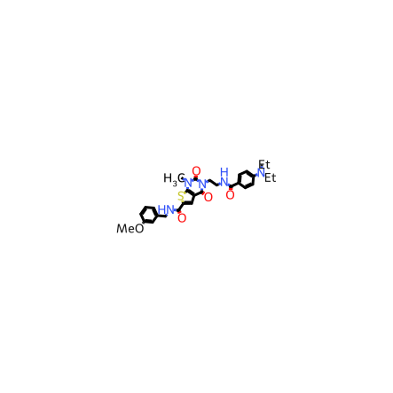 CCN(CC)c1ccc(C(=O)NCCn2c(=O)c3cc(C(=O)NCc4cccc(OC)c4)sc3n(C)c2=O)cc1